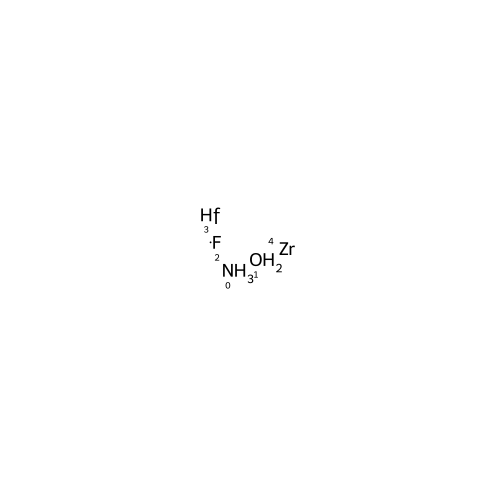 N.O.[F].[Hf].[Zr]